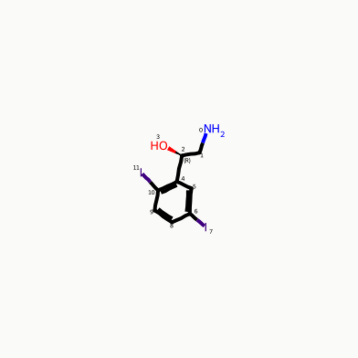 NC[C@H](O)c1cc(I)ccc1I